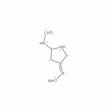 CON=C1CNC(NC=O)C1